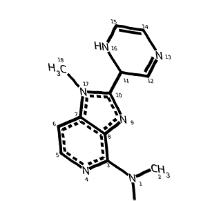 CN(C)c1nccc2c1nc(C1C=NC=CN1)n2C